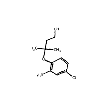 CC(C)(CCO)Oc1ccc(Cl)cc1N